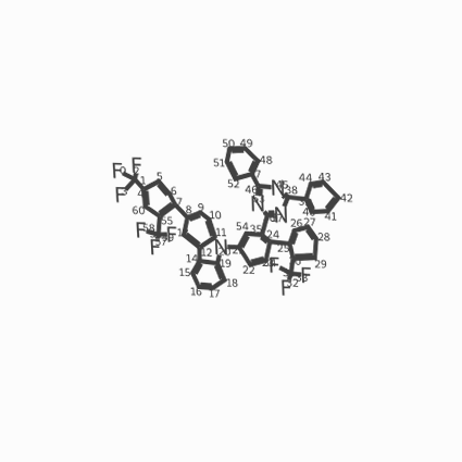 FC(F)(F)c1ccc(-c2ccc3c(c2)c2ccccc2n3-c2ccc(-c3ccccc3C(F)(F)F)c(-c3nc(-c4ccccc4)nc(-c4ccccc4)n3)c2)c(C(F)(F)F)c1